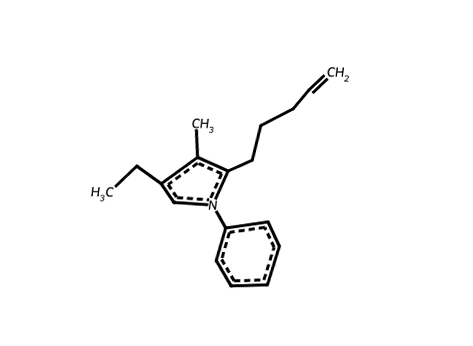 C=CCCCc1c(C)c(CC)cn1-c1ccccc1